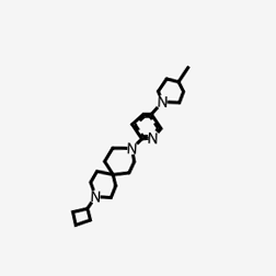 CC1CCN(c2ccc(N3CCC4(CC3)CCN(C3CCC3)CC4)nc2)CC1